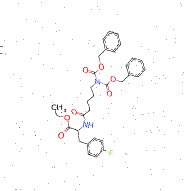 CCOC(=O)C(Cc1ccc(F)cc1)NC(=O)CCCCN(C(=O)OCc1ccccc1)C(=O)OCc1ccccc1